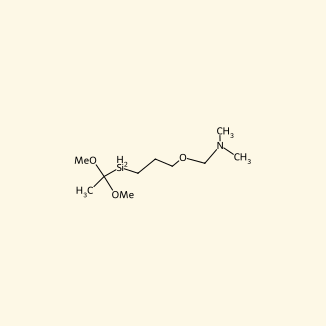 COC(C)(OC)[SiH2]CCCOCN(C)C